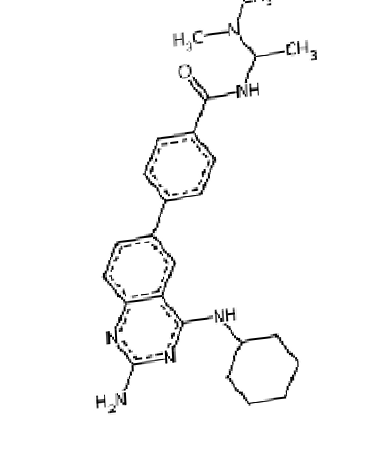 CC(NC(=O)c1ccc(-c2ccc3nc(N)nc(NC4CCCCC4)c3c2)cc1)N(C)C